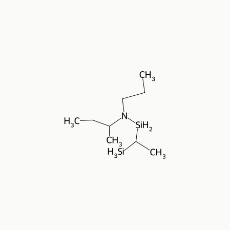 CCCN([SiH2]C(C)[SiH3])C(C)CC